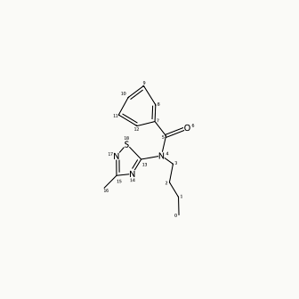 CCCCN(C(=O)c1ccccc1)c1nc(C)ns1